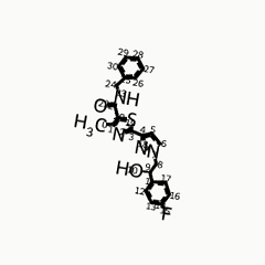 Cc1nc(-c2ccn(C[C@H](O)c3ccc(F)cc3)n2)sc1C(=O)NCc1ccccc1